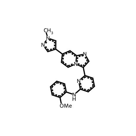 COc1ccccc1Nc1cccc(-c2cnc3cc(-c4cnn(C)c4)ccn23)n1